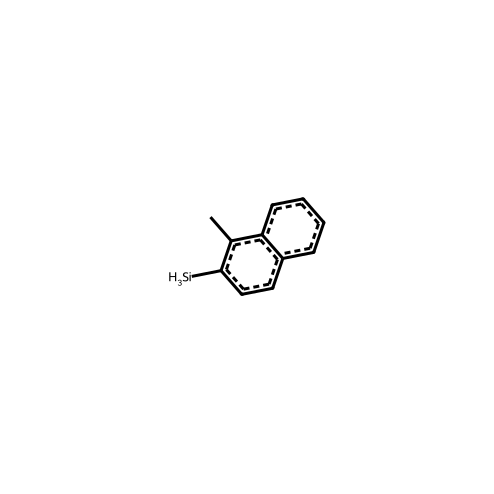 Cc1c([SiH3])ccc2ccccc12